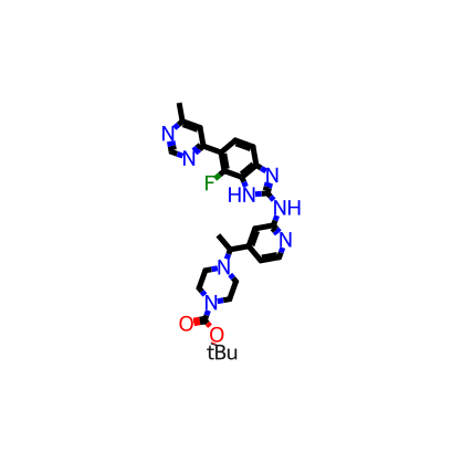 Cc1cc(-c2ccc3nc(Nc4cc(C(C)N5CCN(C(=O)OC(C)(C)C)CC5)ccn4)[nH]c3c2F)ncn1